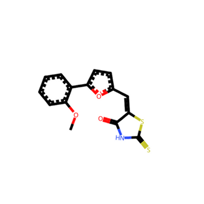 COc1ccccc1-c1ccc(C=C2SC(=S)NC2=O)o1